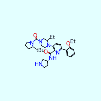 CCOc1ccccc1-c1ccc(N2CCN(C(=O)N3CCCC3C(C)(C)C)C[C@H]2CC)c(C(=O)N[C@@H]2CCNC2)n1